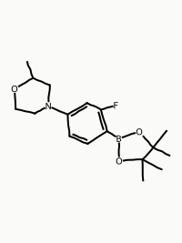 CC1CN(c2ccc(B3OC(C)(C)C(C)(C)O3)c(F)c2)CCO1